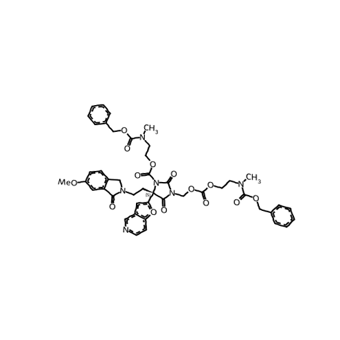 COc1ccc2c(c1)C(=O)N(CC[C@]1(c3cc4cnccc4o3)C(=O)N(COC(=O)OCCN(C)C(=O)OCc3ccccc3)C(=O)N1C(=O)OCCN(C)C(=O)OCc1ccccc1)C2